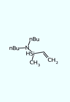 C=C[SiH](C)N(CCCC)CCCC